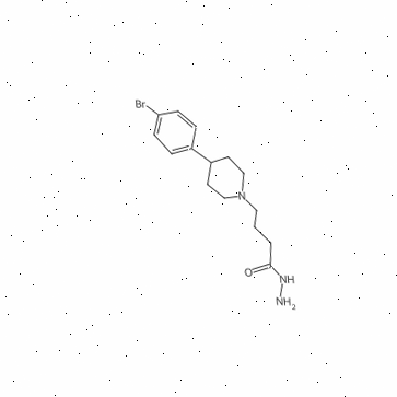 NNC(=O)CCCN1CCC(c2ccc(Br)cc2)CC1